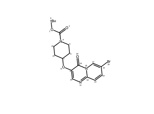 CC(C)(C)OC(=O)N1CCC(Oc2cnc3ccc(Br)cn3c2=O)CC1